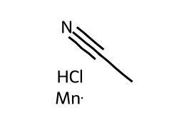 CC#N.Cl.[Mn]